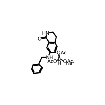 CC(=O)O[BH-](OC(C)=O)OC(C)=O.O=C1NCCc2ccc(NCc3ccccc3)cc21.[Na+]